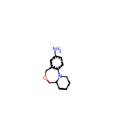 Nc1ccc2c(c1)COCC1CCCCN21